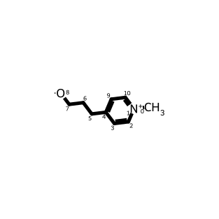 C[n+]1ccc(CCC[O])cc1